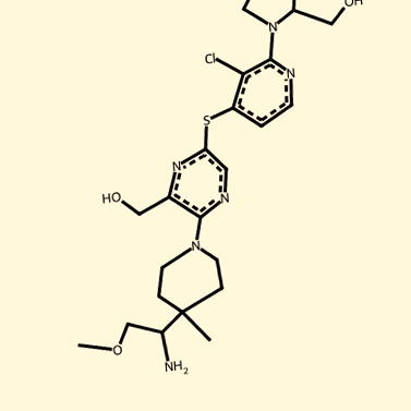 COCC(N)C1(C)CCN(c2ncc(Sc3ccnc(N4CCCC4CO)c3Cl)nc2CO)CC1